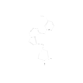 COc1cccc(Nc2ncnn3ccc(CN4CC[C@H](N)[C@H](C(C)=O)C4)c23)c1